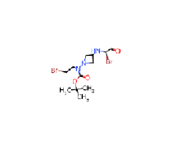 CC(C)(C)OC(=O)N(CCBr)N1CC(NC(Br)C=O)C1